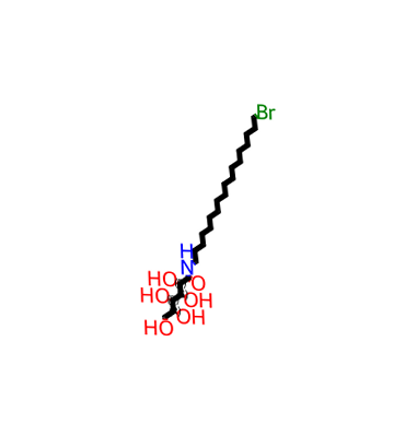 O=C(NCCCCCCCCCCCCCCCCCCBr)[C@H](O)[C@@H](O)[C@H](O)[C@H](O)CO